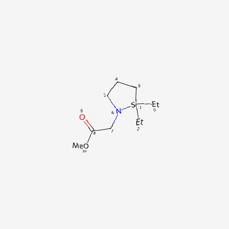 CC[Si]1(CC)CCCN1CC(=O)OC